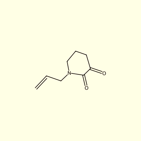 C=CCN1CCCC(=O)C1=O